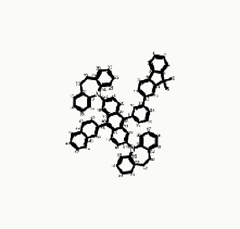 CC1(C)c2ccccc2-c2ccc(-c3cccc(-c4c5ccc(N6c7ccccc7CCc7ccccc76)cc5c(-c5ccc6ccccc6c5)c5ccc(N6C7=C(CCC=C7)CCc7ccccc76)cc45)c3)cc21